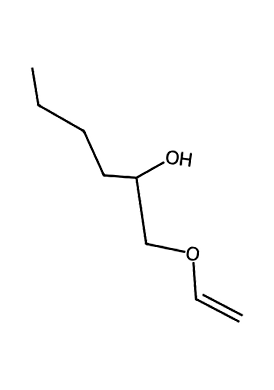 C=COCC(O)CCCC